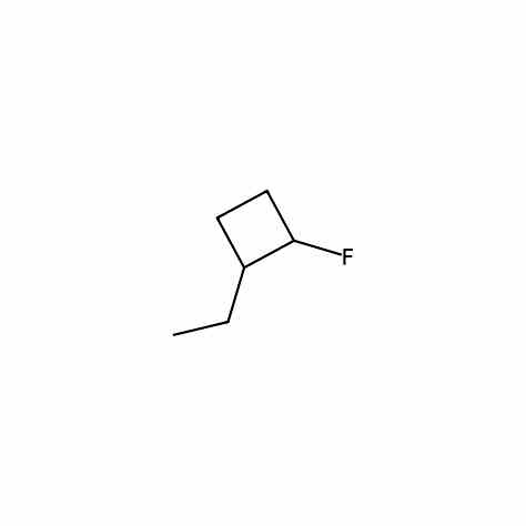 CCC1CCC1F